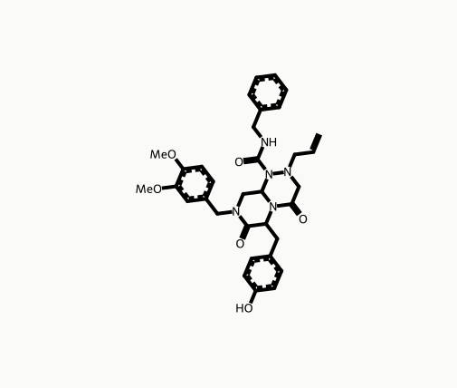 C=CCN1CC(=O)N2C(Cc3ccc(O)cc3)C(=O)N(Cc3ccc(OC)c(OC)c3)CC2N1C(=O)NCc1ccccc1